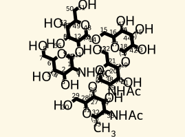 CC(=O)NC1C(O)[C@H](O)C(CO)O[C@H]1OC1[C@@H](OCC2O[C@@H](O[C@@H]3C(CO)O[C@@H](O[C@@H]4C(CO)O[C@@H](C)C(NC(C)=O)[C@H]4O)C(NC(C)=O)[C@H]3O)C(O)[C@@H](O)[C@@H]2O)OC(CO)[C@@H](O)[C@@H]1O